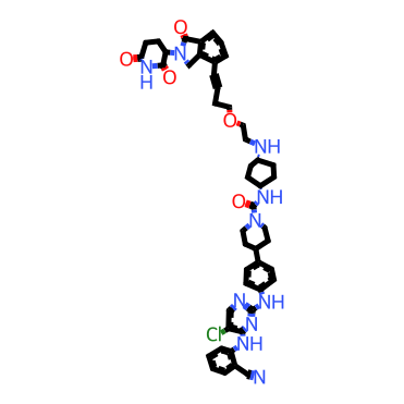 N#Cc1ccccc1Nc1nc(Nc2ccc(C3CCN(C(=O)N[C@H]4CC[C@@H](NCCOCCC#Cc5cccc6c5CN(C5CCC(=O)NC5=O)C6=O)CC4)CC3)cc2)ncc1Cl